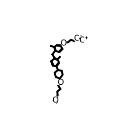 [CH2+][CH-]CCCOc1ccc(Cc2ccc(C3CCC(OCCCCOC)CC3)cc2C)c(C)c1